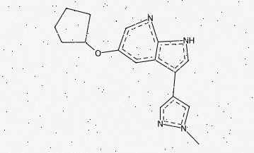 Cn1cc(-c2c[nH]c3ncc(OC4CCCC4)cc23)cn1